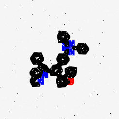 c1ccc(-c2nc(-c3ccccc3)nc(-c3ccc(-c4cc(-c5cc(-c6ccccc6)c6ccc7cccnc7c6n5)cc(-c5cccc6oc7ccccc7c56)c4)cc3)n2)cc1